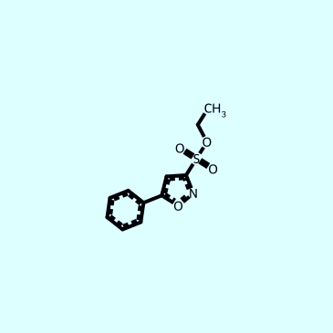 CCOS(=O)(=O)c1cc(-c2ccccc2)on1